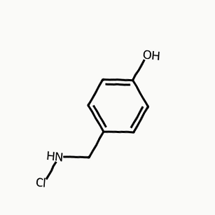 Oc1ccc(CNCl)cc1